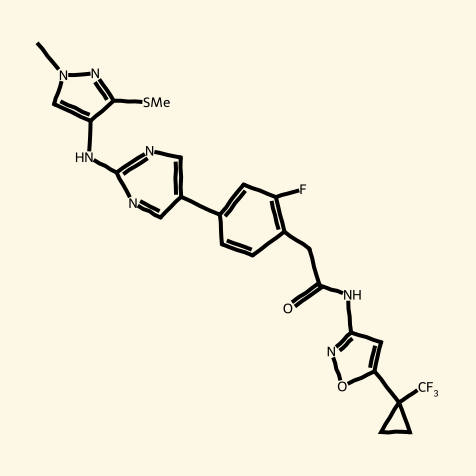 CSc1nn(C)cc1Nc1ncc(-c2ccc(CC(=O)Nc3cc(C4(C(F)(F)F)CC4)on3)c(F)c2)cn1